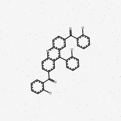 O=C(c1ccc2nc3ccc(C(=O)c4ccccc4Cl)cc3c(-c3ccccc3Cl)c2c1)c1ccccc1Cl